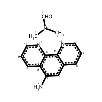 CN(C)C=O.Nc1cc2cccnc2c2ncccc12